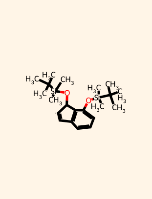 CC(C)(C)[Si](C)(C)Oc1cccc2c1C(O[Si](C)(C)C(C)(C)C)[C]=C2